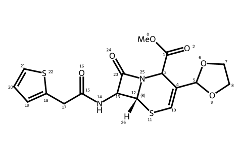 COC(=O)C1C(C2OCCO2)=CS[C@@H]2C(NC(=O)Cc3cccs3)C(=O)N12